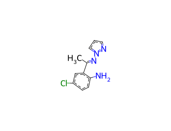 C/C(=N\n1cccn1)c1cc(Cl)ccc1N